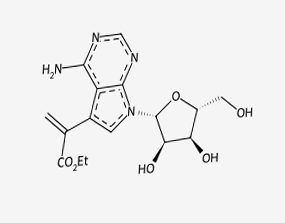 C=C(C(=O)OCC)c1cn([C@@H]2O[C@H](CO)[C@@H](O)[C@H]2O)c2ncnc(N)c12